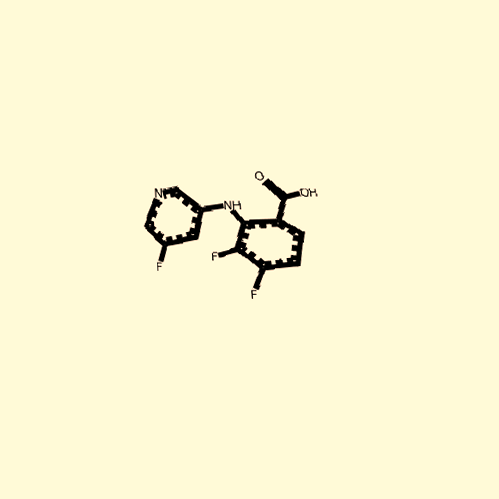 O=C(O)c1ccc(F)c(F)c1Nc1cncc(F)c1